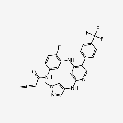 C=C=CC(=O)Nc1ccc(F)c(Nc2nc(Nc3cnn(C)c3)ncc2-c2ccc(C(F)(F)F)cc2)c1